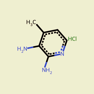 Cc1ccnc(N)c1N.Cl